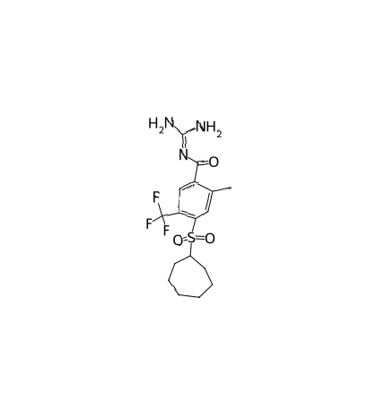 Cc1cc(S(=O)(=O)C2CCCCCC2)c(C(F)(F)F)cc1C(=O)N=C(N)N